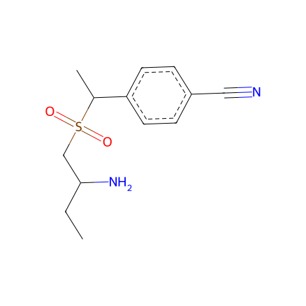 CCC(N)CS(=O)(=O)C(C)c1ccc(C#N)cc1